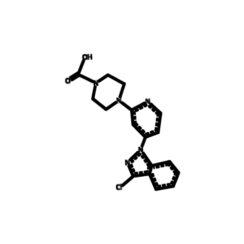 O=C(O)N1CCN(c2cc(-n3nc(Cl)c4ccccc43)ccn2)CC1